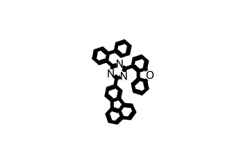 c1ccc(-c2ccccc2-c2nc(-c3ccc4c(c3)-c3cccc5cccc-4c35)nc(-c3cccc4oc5ccccc5c34)n2)cc1